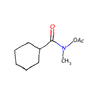 CC(=O)ON(C)C(=O)C1CCCCC1